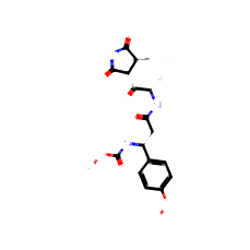 CC(C)Oc1ccc([C@H](CC(=O)N[C@H](C(=O)[C@@H]2C(=O)NC(=O)[C@H]2C)C(C)C)NC(=O)OC(C)(C)C)cc1